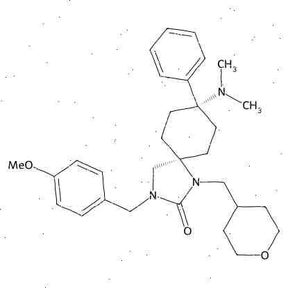 COc1ccc(CN2C[C@]3(CC[C@@](c4ccccc4)(N(C)C)CC3)N(CC3CCOCC3)C2=O)cc1